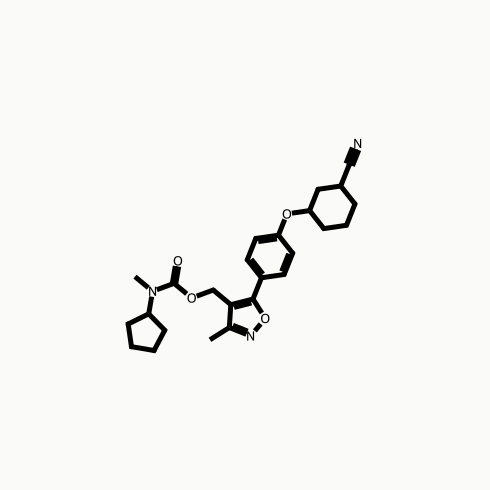 Cc1noc(-c2ccc(OC3CCCC(C#N)C3)cc2)c1COC(=O)N(C)C1CCCC1